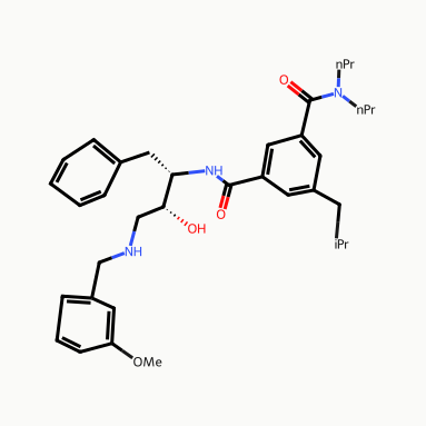 CCCN(CCC)C(=O)c1cc(CC(C)C)cc(C(=O)N[C@@H](Cc2ccccc2)[C@H](O)CNCc2cccc(OC)c2)c1